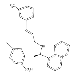 C[C@@H](NCC=Cc1cccc(C(F)(F)F)c1)c1cccc2ccccc12.Cc1ccc(S(=O)(=O)O)cc1